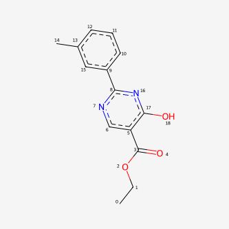 CCOC(=O)c1cnc(-c2cccc(C)c2)nc1O